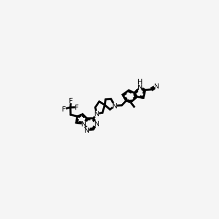 Cc1c(CN2CCC3(CCN(c4ncnn5cc(CC(F)(F)F)cc45)C3)C2)ccc2[nH]c(C#N)cc12